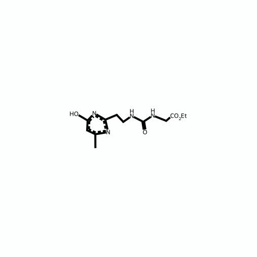 CCOC(=O)CNC(=O)NCCc1nc(C)cc(O)n1